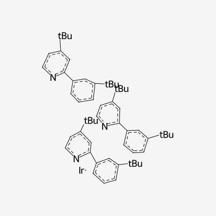 CC(C)(C)c1cccc(-c2cc(C(C)(C)C)ccn2)c1.CC(C)(C)c1cccc(-c2cc(C(C)(C)C)ccn2)c1.CC(C)(C)c1cccc(-c2cc(C(C)(C)C)ccn2)c1.[Ir]